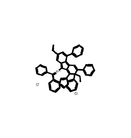 CCc1cc(-c2ccccc2)c2c(c1)=[C]([Zr+2]=[C](c1ccccc1)c1ccccc1)C1=C(C3=CC=CC3)C(CC)(c3ccccc3)C(c3ccccc3)=CC=21.[Cl-].[Cl-]